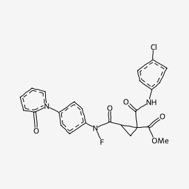 COC(=O)C1(C(=O)Nc2ccc(Cl)cc2)CC1C(=O)N(F)c1ccc(-n2ccccc2=O)cc1